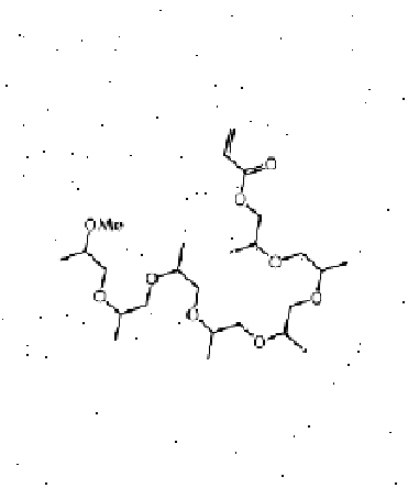 C=CC(=O)OCC(C)OCC(C)OCC(C)OCC(C)OCC(C)OCC(C)OCC(C)OC